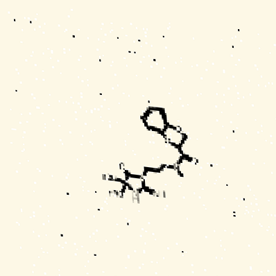 CCCCC1(CCCC)NC(=N)N(CCCN(C)C(=O)C2COc3ccccc3O2)C1=O